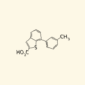 Cc1cccc(-c2cccc3cc(C(=O)O)sc23)c1